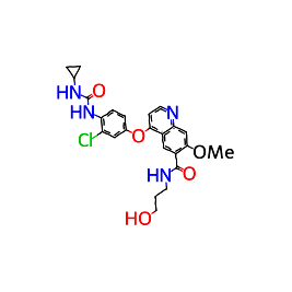 COc1cc2nccc(Oc3ccc(NC(=O)NC4CC4)c(Cl)c3)c2cc1C(=O)NCCCO